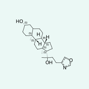 CC(O)(CCc1cocn1)[C@H]1CC[C@H]2[C@@H]3CCC4C[C@@H](O)CC[C@]4(C)[C@H]3CC[C@]12C